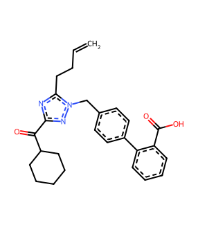 C=CCCc1nc(C(=O)C2CCCCC2)nn1Cc1ccc(-c2ccccc2C(=O)O)cc1